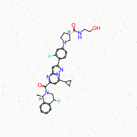 C[C@@H]1c2ccccc2C(F)CN1C(=O)c1cc(C2CC2)n2nc(-c3ccc(N4CC[C@H](C(=O)NCCO)C4)cc3F)cc2n1